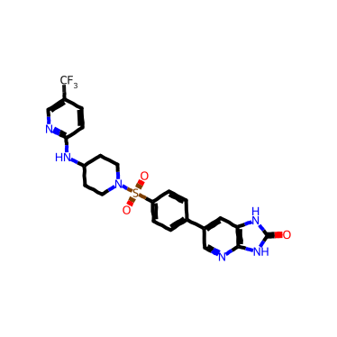 O=c1[nH]c2cc(-c3ccc(S(=O)(=O)N4CCC(Nc5ccc(C(F)(F)F)cn5)CC4)cc3)cnc2[nH]1